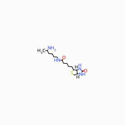 CC(N)CCCCNC(=O)CCCCC1SC[C@@H]2NC(=O)N[C@H]12